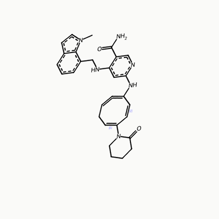 Cn1ccc2cccc(CNc3cc(NC4=C=CC/C=C(N5CCCCC5=O)\C=C/4)ncc3C(N)=O)c21